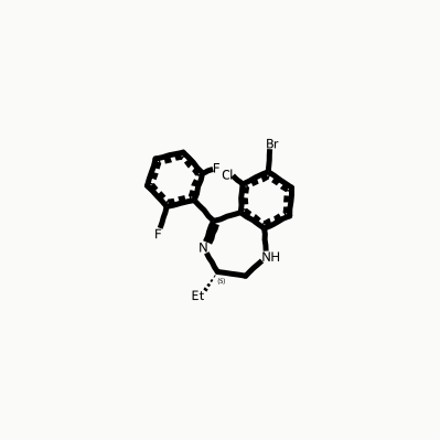 CC[C@H]1CNc2ccc(Br)c(Cl)c2C(c2c(F)cccc2F)=N1